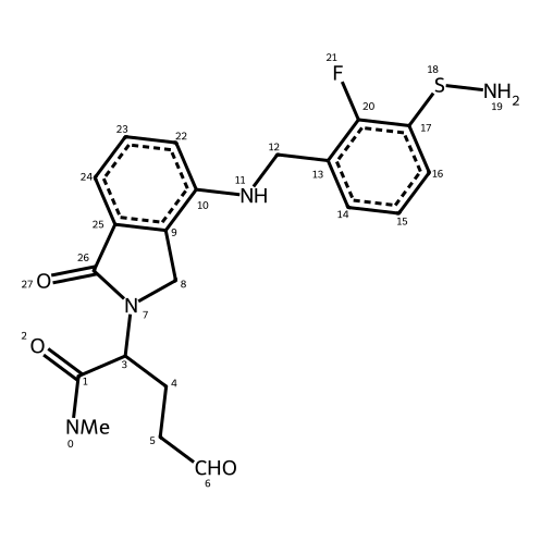 CNC(=O)C(CCC=O)N1Cc2c(NCc3cccc(SN)c3F)cccc2C1=O